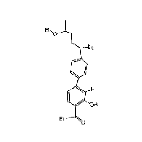 CCOC(C)CCC(CC)c1ccc(-c2ccc(C(=O)CC)c(O)c2F)cc1